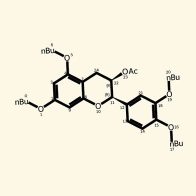 CCCCOc1cc(OCCCC)c2c(c1)O[C@H](c1ccc(OCCCC)c(OCCCC)c1)[C@H](OC(C)=O)C2